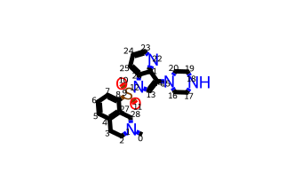 CN1CCc2cccc(S(=O)(=O)n3cc(N4CCNCC4)c4ncccc43)c2C1